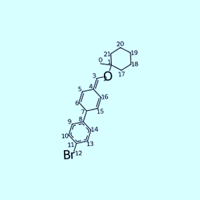 CC1(OC=C2C=CC(c3ccc(Br)cc3)C=C2)CCCCC1